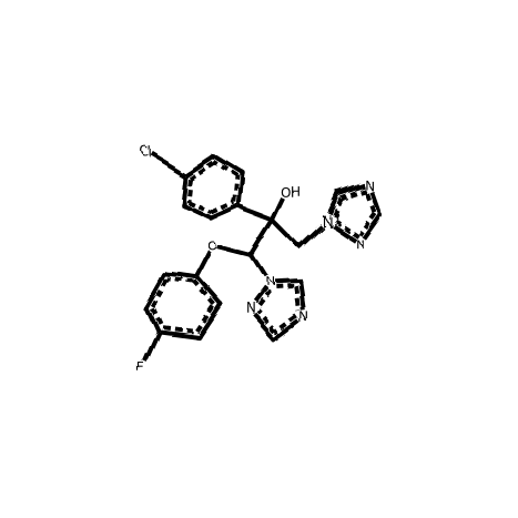 OC(Cn1cncn1)(c1ccc(Cl)cc1)C(Oc1ccc(F)cc1)n1cncn1